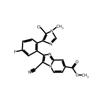 COC(=O)c1ccn2c(C#N)c(-c3cc(F)ccc3-c3ncn(C)c3Cl)nc2c1